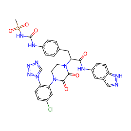 CS(=O)(=O)NC(=O)Nc1ccc(CC(C(=O)Nc2ccc3[nH]ncc3c2)N2CCN(c3cc(Cl)ccc3-n3cnnn3)C(=O)C2=O)cc1